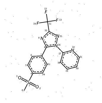 CS(=O)(=O)c1ccc(-c2nc(C(F)(F)F)nn2-c2ccccn2)cc1